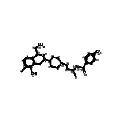 Cc1ccc2c(c1O)CC(C1CCN(CCC(C)NC(=O)c3ccc(C(F)(F)F)cc3)CC1)OC2CN